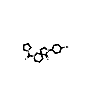 O=C(N1CCCC1)N1CCCC2(CCN(C3CCC(O)CC3)C2=O)C1